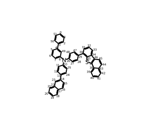 c1ccc(-c2cccc(N(c3ccc(-c4ccc5ccccc5c4)cc3)c3ccc(-c4cccc5c4sc4c6ccccc6ccc54)cc3)c2)cc1